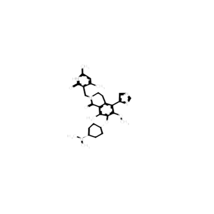 COc1c(O[C@H]2CC[C@H](N(C)C)CC2)c(C)c2c(c1-c1cncs1)CCN(Cc1c(C)cc(C)[nH]c1=O)C2=O